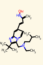 C=C(/C=C/c1ccn2c(CN(CC)CCC(C)C)c(C(C)(C)C)nc2c1)NO